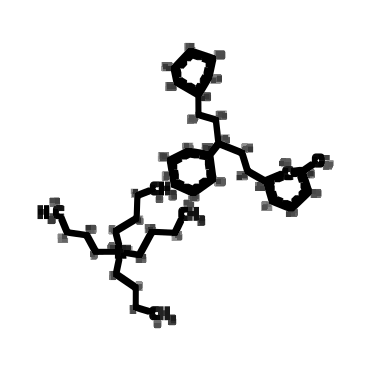 CCCC[N+](CCCC)(CCCC)CCCC.[O-]c1cccc(CCC(CCc2ccccc2)c2ccccc2)c1